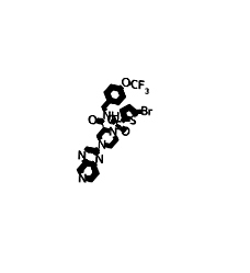 O=C(NCc1ccc(OC(F)(F)F)cc1)[C@H]1CN(c2cnc3cnccc3n2)CCN1S(=O)(=O)c1ccc(Br)s1